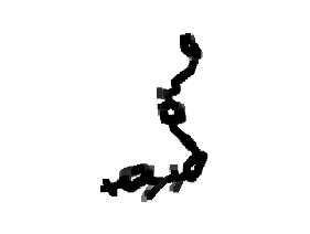 CC(C)(C)c1cc(NC(=O)Nc2cccc(C#Cc3cnc(NCCCn4ccnc4)nc3)c2)no1